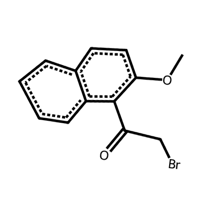 COc1ccc2ccccc2c1C(=O)CBr